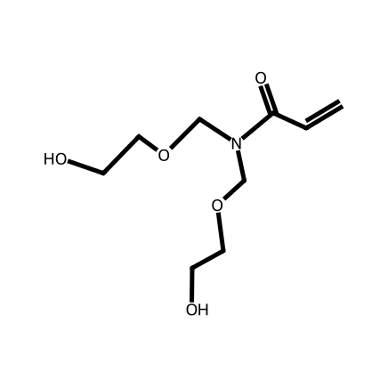 C=CC(=O)N(COCCO)COCCO